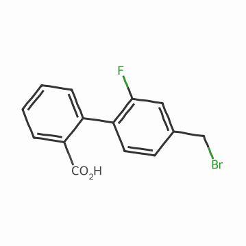 O=C(O)c1ccccc1-c1ccc(CBr)cc1F